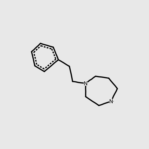 c1ccc(CCN2CCC[N]CC2)cc1